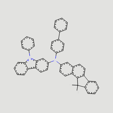 CC1(C)c2ccccc2-c2ccc3cc(N(c4ccc(-c5ccccc5)cc4)c4ccc5c6ccccc6n(-c6ccccc6)c5c4)ccc3c21